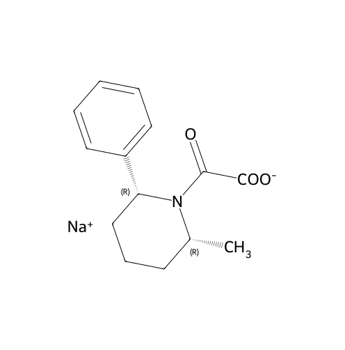 C[C@@H]1CCC[C@H](c2ccccc2)N1C(=O)C(=O)[O-].[Na+]